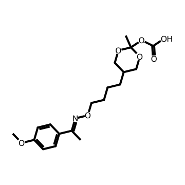 COc1ccc(C(C)=NOCCCCC2COC(C)(OC(=O)O)OC2)cc1